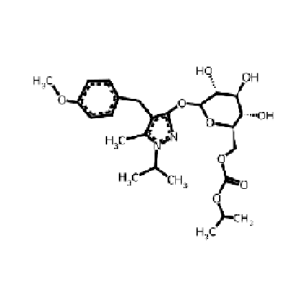 COc1ccc(Cc2c(OC3O[C@H](COC(=O)OC(C)C)[C@@H](O)[C@H](O)[C@H]3O)nn(C(C)C)c2C)cc1